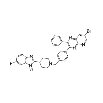 Fc1ccc2nc(C3CCN(Cc4ccc(-c5nc6ncc(Br)cc6nc5-c5ccccc5)cc4)CC3)[nH]c2c1